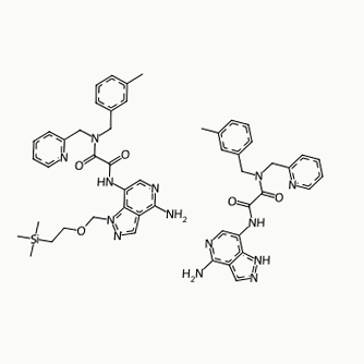 Cc1cccc(CN(Cc2ccccn2)C(=O)C(=O)Nc2cnc(N)c3cn[nH]c23)c1.Cc1cccc(CN(Cc2ccccn2)C(=O)C(=O)Nc2cnc(N)c3cnn(COCC[Si](C)(C)C)c23)c1